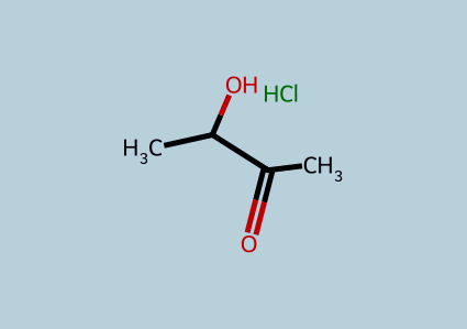 CC(=O)C(C)O.Cl